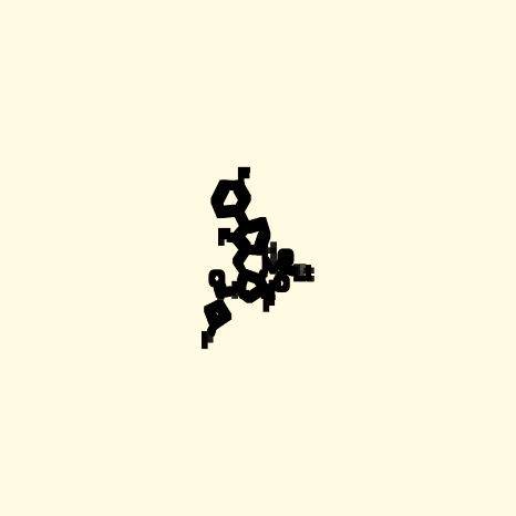 CCS(=O)(=O)N[C@@H]1[C@H](Cc2cccc(-c3cccc(F)c3)c2F)N(C(=O)[C@H]2C[C@H](F)C2)CC1(F)F